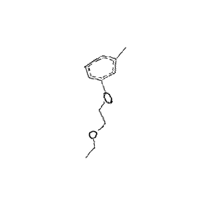 CCOCCOc1cccc(C)c1